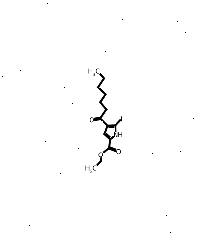 CCCCCCC(=O)c1cc(C(=O)OCC)[nH]c1I